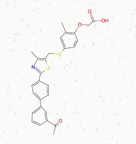 CC(=O)c1cccc(-c2ccc(-c3nc(C)c(CSc4ccc(OCC(=O)O)c(C)c4)s3)cc2)c1